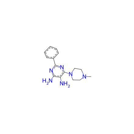 CN1CCN(c2nc(-c3ccccc3)nc(N)c2N)CC1